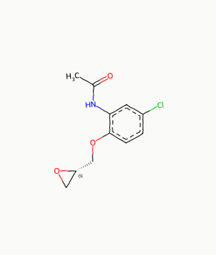 CC(=O)Nc1cc(Cl)ccc1OC[C@@H]1CO1